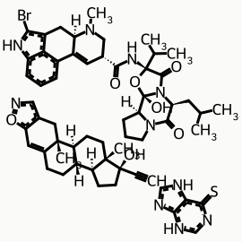 C#C[C@]1(O)CC[C@H]2[C@@H]3CCC4=Cc5oncc5C[C@]4(C)[C@H]3CC[C@@]21C.CC(C)C[C@H]1C(=O)N2CCC[C@H]2[C@]2(O)O[C@](NC(=O)[C@@H]3C=C4c5cccc6[nH]c(Br)c(c56)C[C@H]4N(C)C3)(C(C)C)C(=O)N12.S=c1nc[nH]c2nc[nH]c12